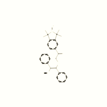 CC1(C)c2ccc(C(O)CNC(c3ccccc3)C(N=O)c3ccccc3)cc2C(C)(C)N1O